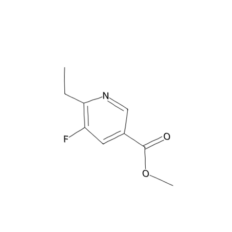 CCc1ncc(C(=O)OC)cc1F